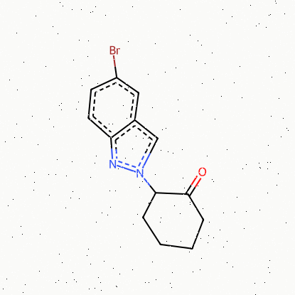 O=C1CCCCC1n1cc2cc(Br)ccc2n1